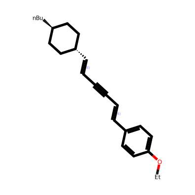 CCCC[C@H]1CC[C@H](/C=C/C#C/C=C/c2ccc(OCC)cc2)CC1